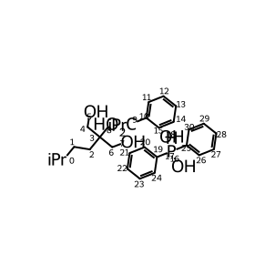 CC(C)CCC(CO)(CO)C(C)C.O=C(O)c1ccccc1.O[PH](O)(c1ccccc1)c1ccccc1